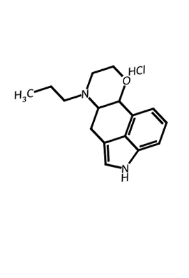 CCCN1CCOC2c3cccc4[nH]cc(c34)CC21.Cl